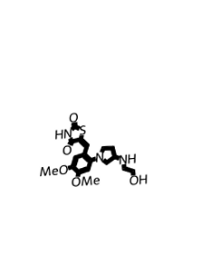 COc1cc(C=C2SC(=O)NC2=O)c(N2CCC(NCCO)C2)cc1OC